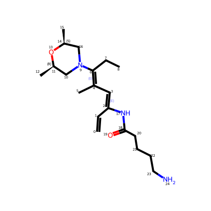 C=C/C(=C\C(C)=C(/CC)N1C[C@@H](C)O[C@@H](C)C1)NC(=O)CCCCN